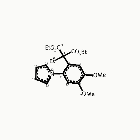 CCOC(=O)C(CC)(C(=O)OCC)c1cc(OC)c(OC)cc1-n1cccc1